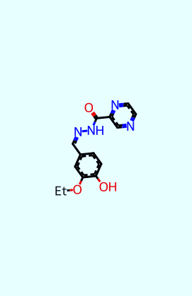 CCOc1cc(/C=N\NC(=O)c2cnccn2)ccc1O